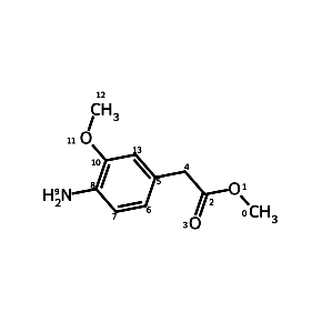 COC(=O)Cc1ccc(N)c(OC)c1